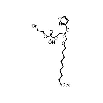 CCCCCCCCCCCCCCCCCCOC[C@@H](COP(=O)(O)OCCBr)Oc1ccon1